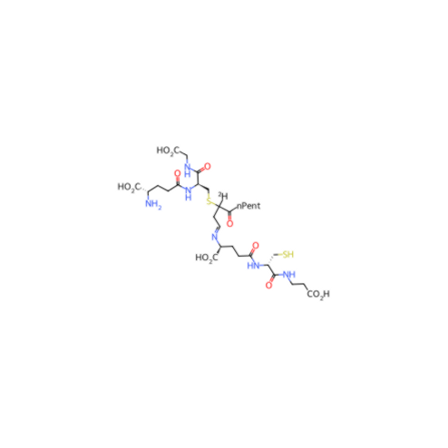 [2H]C(C/C=N/[C@@H](CCC(=O)N[C@H](CS)C(=O)NCCC(=O)O)C(=O)O)(SC[C@@H](NC(=O)CC[C@H](N)C(=O)O)C(=O)NCC(=O)O)C(=O)CCCCC